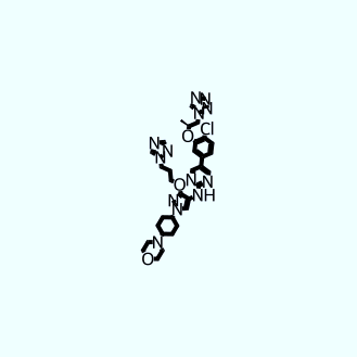 C[C@@H](Cn1cnnn1)Oc1cc(-c2cnc(Nc3cn(C4CCC(N5CCOCC5)CC4)nc3OCCCn3cncn3)nc2)ccc1Cl